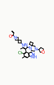 C=CC(=O)N1CC2(CC(n3nc(N4CCN(C5CCOC5)CC45CCC5)c(-c4c(Cl)c(C)cc5[nH]ncc45)c3C)C2)C1